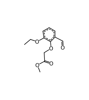 CCOc1cccc(C=O)c1OCC(=O)OC